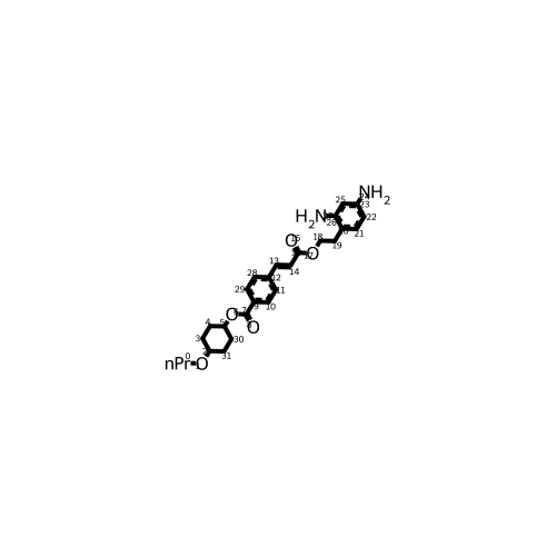 CCCOC1CCC(OC(=O)c2ccc(/C=C/C(=O)OCCc3ccc(N)cc3N)cc2)CC1